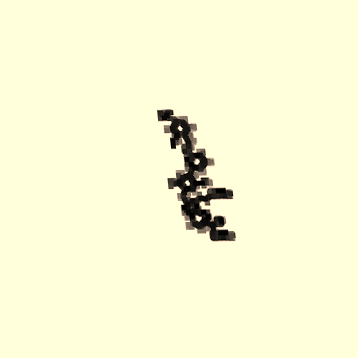 COCCn1c(Cc2cc(F)c(-c3cccc(OCc4ccc(C#N)cc4F)n3)cc2F)nc2ccc(C(=O)OC)nc21